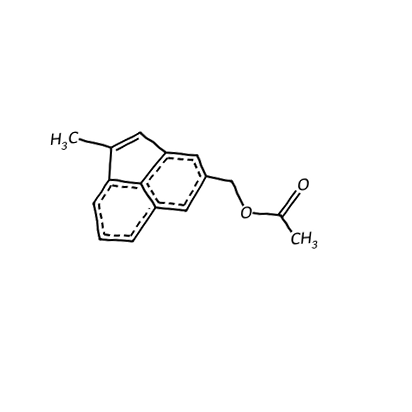 CC(=O)OCc1cc2c3c(cccc3c1)C(C)=C2